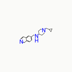 c1cc2cc(CNC3CCN(CC4CC4)CC3)ccc2cn1